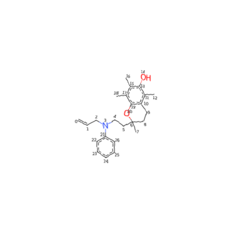 C=CCN(CCC1(C)CCc2c(C)c(O)c(C)c(C)c2O1)c1ccccc1